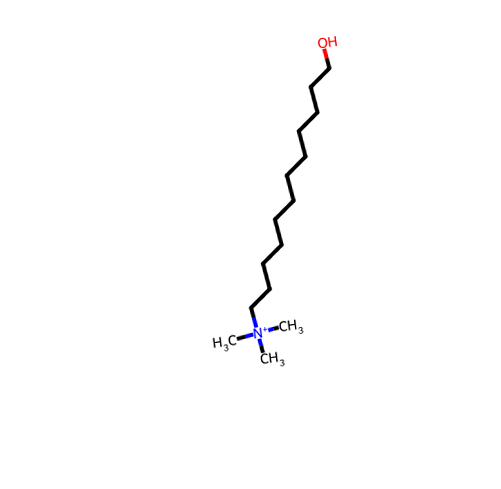 C[N+](C)(C)CCCCCCCCCCCCO